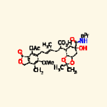 CCCNC(=O)C1(O)CC2OC(C)(C)OC2C(C(C/C(C)=C/Cc2c(OC)c(C)c3c(c2OC(C)=O)C(=O)OC3)C(=O)O)C1